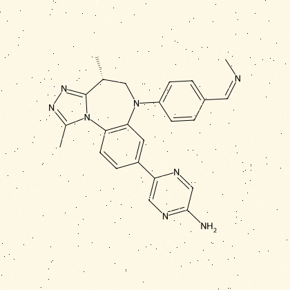 C/N=C\c1ccc(N2C[C@@H](C)c3nnc(C)n3-c3ccc(-c4cnc(N)cn4)cc32)cc1